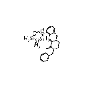 c1ccc2cc3c(ccc4cc5cccc([SiH]6CO[SiH2][SiH2][SiH2]6)c5cc43)cc2c1